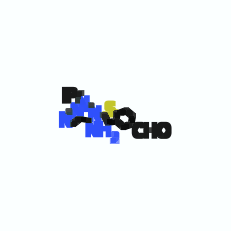 CC(C)N1CN(c2cc3cc(C=O)ccc3s2)C(N)c2cncn21